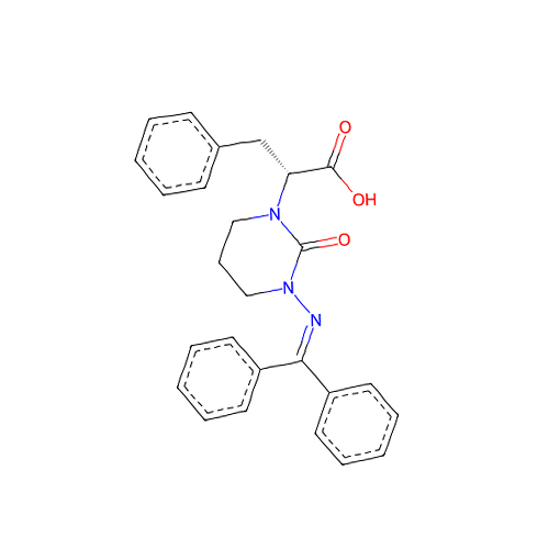 O=C(O)[C@@H](Cc1ccccc1)N1CCCN(N=C(c2ccccc2)c2ccccc2)C1=O